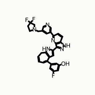 Oc1cc(F)cc(C2=CC=CCc3[nH]c(-c4n[nH]c5ccc(-c6cncc(CN7CCC(F)(F)C7)c6)nc45)cc32)c1